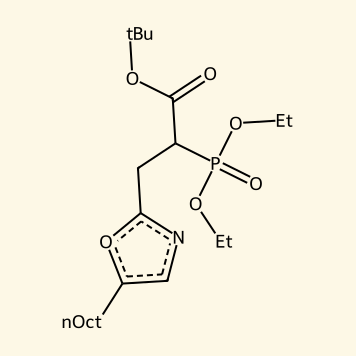 CCCCCCCCc1cnc(CC(C(=O)OC(C)(C)C)P(=O)(OCC)OCC)o1